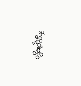 C=C(C)C(=O)CCOC(=O)C1CN(C2CC2)c2cc(N3CCN(C(c4ccccc4)(c4ccccc4)c4ccccc4)CC3)c(F)cc2C1=O